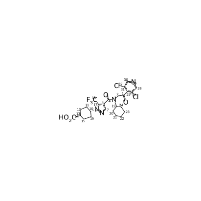 O=C(CN(C(=O)c1cnn([C@H]2CC[C@H](C(=O)O)CC2)c1C(F)(F)F)C1CCCCC1)c1c(Cl)cncc1Cl